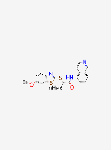 CCCCCCC(Sc1nc2ccc(OCC)cc2s1)C(=O)Nc1cccc2cnccc12